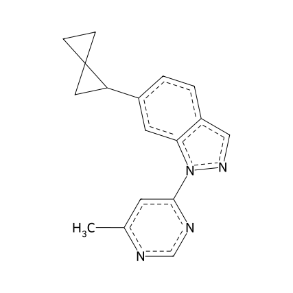 Cc1cc(-n2ncc3ccc(C4CC45CC5)cc32)ncn1